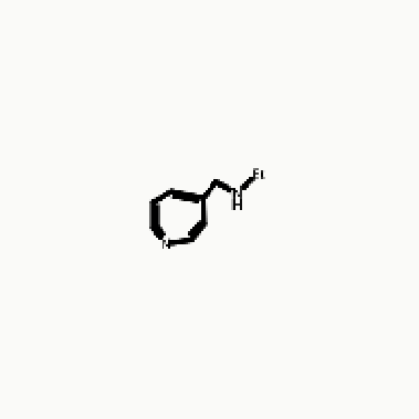 CCNCC1=CC=C=NC=C1